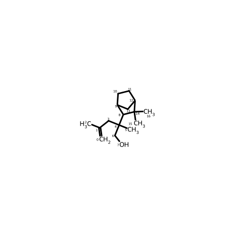 C=C(C)CC(C)(CO)C1C2CCC(C2)C1(C)C